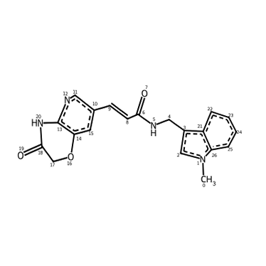 Cn1cc(CNC(=O)C=Cc2cnc3c(c2)OCC(=O)N3)c2ccccc21